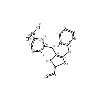 S=CC1SC(Cc2ncccn2)=C(Cc2ncccn2)S1.[Cl][Ni][Cl]